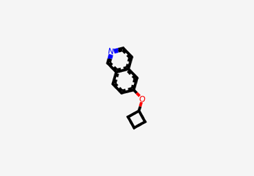 c1cc2cc(OC3CCC3)ccc2cn1